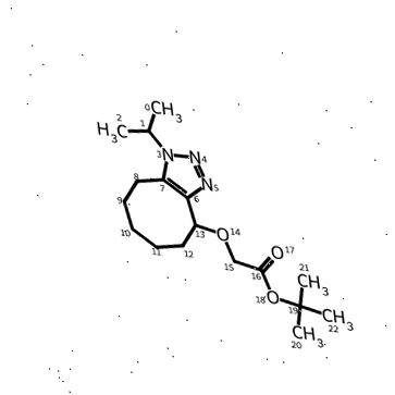 CC(C)n1nnc2c1CCCCCC2OCC(=O)OC(C)(C)C